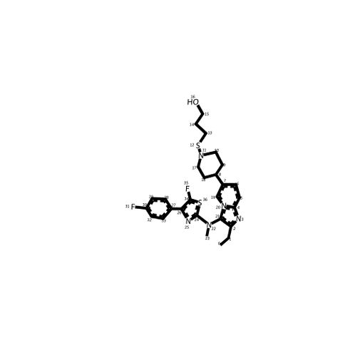 CCc1nc2ccc(C3CCN(SCCCO)CC3)cn2c1N(C)c1nc(-c2ccc(F)cc2)c(F)s1